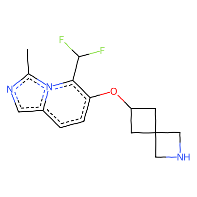 Cc1ncc2ccc(OC3CC4(CNC4)C3)c(C(F)F)n12